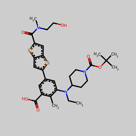 CCN(c1cc(-c2cc3sc(C(=O)N(C)CCO)cc3s2)cc(C(=O)O)c1C)C1CCN(C(=O)OC(C)(C)C)CC1